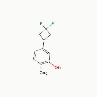 CC(=O)Oc1ccc(C2CC(F)(F)C2)cc1O